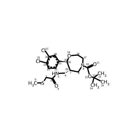 CSCC(=O)NC[C@H]1CN(C(=O)OC(C)(C)C)CCO[C@@H]1c1ccc(Cl)c(Cl)c1